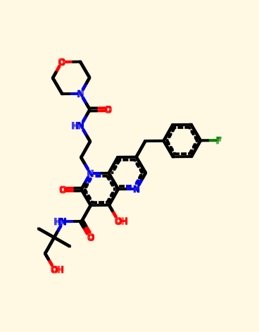 CC(C)(CO)NC(=O)c1c(O)c2ncc(Cc3ccc(F)cc3)cc2n(CCNC(=O)N2CCOCC2)c1=O